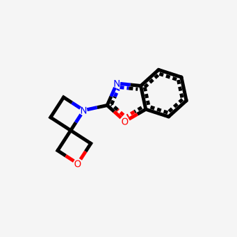 c1ccc2oc(N3CCC34COC4)nc2c1